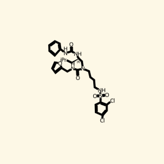 CC(C)C[C@H](CN(CCCCNS(=O)(=O)c1ccc(Cl)cc1Cl)C(=O)NCc1ccco1)NC(=O)Nc1ccccc1